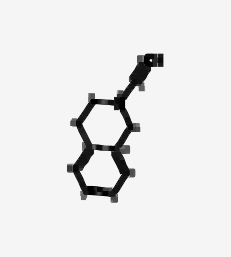 C#CN1CCc2ccccc2C1